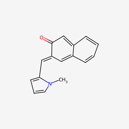 Cn1cccc1C=C1C=c2ccccc2=CC1=O